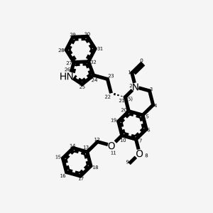 C=CN1CCc2cc(OC)c(OCc3ccccc3)cc2[C@@H]1CCc1c[nH]c2ccccc12